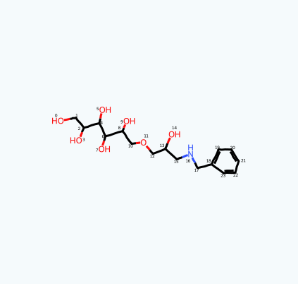 OCC(O)C(O)C(O)C(O)COCC(O)CNCc1ccccc1